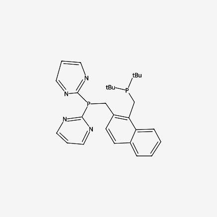 CC(C)(C)P(Cc1c(CP(c2ncccn2)c2ncccn2)ccc2ccccc12)C(C)(C)C